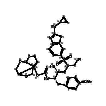 COc1ccc(C[C@H](NC(=O)OC2C3COC4OCC2C4CO3)[C@H](O)CN(CC(C)C)S(=O)(=O)c2ccc3nc(NC4CC4)sc3c2)cc1